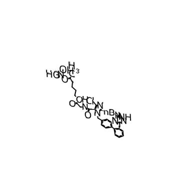 CCCCc1nc(Cl)c(C(=O)NCC(=O)OCCCCC(C)ON(O)O)n1Cc1ccc(-c2ccccc2-c2nn[nH]n2)cc1